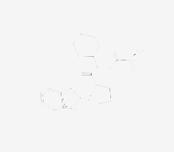 CN[C@@H](C)C(=O)N[C@H](C(=O)N1CCC[C@@H]1c1cc2ccccc2[nH]1)C1CCCCC1